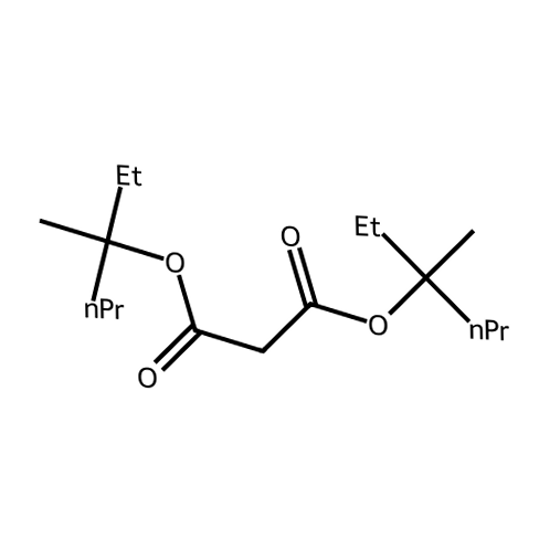 CCCC(C)(CC)OC(=O)CC(=O)OC(C)(CC)CCC